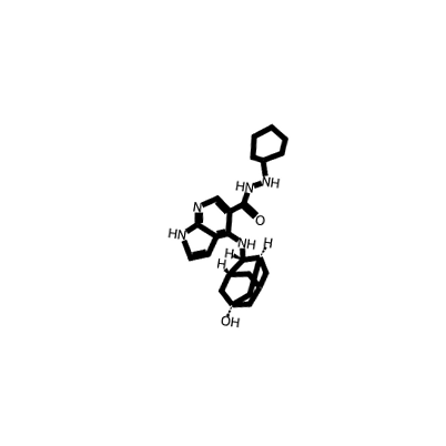 O=C(NNC1CCCCC1)c1cnc2[nH]ccc2c1N[C@H]1[C@@H]2CC3C[C@H]1C[C@@](O)(C3)C2